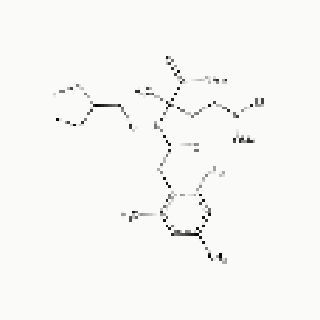 CCN(CCC(C)(C(=O)OC)N(OCC1CCCC1)C(=O)Cc1c(C)cc(C)cc1C)OC